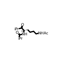 CC(=O)NCCCC[C@H](NC(=O)C(C)C)C(=O)C(C)C